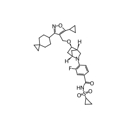 O=C(NS(=O)(=O)C1CC1)c1ccc(N2C[C@@H]3C[C@H]2C[C@H]3OCc2c(C3CCC4(CC3)CC4)noc2C2CC2)c(F)c1